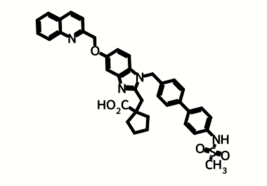 CS(=O)(=O)Nc1ccc(-c2ccc(Cn3c(CC4(C(=O)O)CCCC4)nc4cc(OCc5ccc6ccccc6n5)ccc43)cc2)cc1